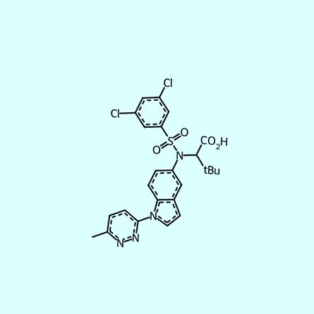 Cc1ccc(-n2ccc3cc(N(C(C(=O)O)C(C)(C)C)S(=O)(=O)c4cc(Cl)cc(Cl)c4)ccc32)nn1